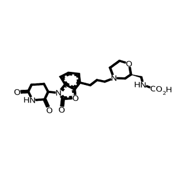 O=C(O)NC[C@H]1CN(CCCc2cccc3c2oc(=O)n3C2CCC(=O)NC2=O)CCO1